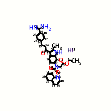 CCOC(=O)CN(c1ccc2c(C(=O)CCc3ccc(C(=N)N)cc3)c(C)[nH]c2c1)S(=O)(=O)c1cccc2cccnc12.I